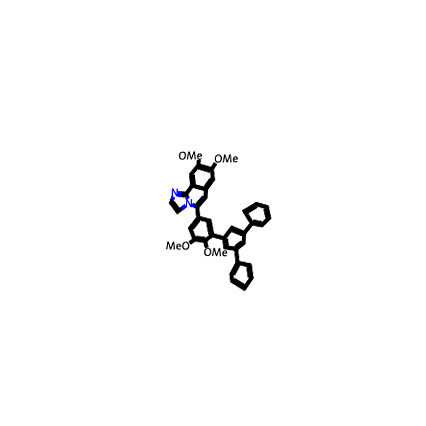 COc1cc2cc(-c3cc(OC)c(OC)c(-c4cc(-c5ccccc5)cc(-c5ccccc5)c4)c3)n3ccnc3c2cc1OC